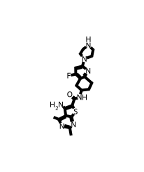 Cc1nc(C)c2c(N)c(C(=O)NC3CCc4nc(N5CCNCC5)cc(F)c4C3)sc2n1